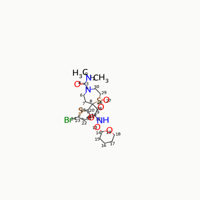 CN(C)C(=O)N1CCC(CC(=O)NOC2CCCCO2)(c2ccc(Br)s2)S(=O)(=O)CC1